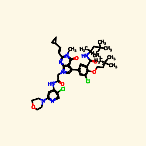 Cn1c(C=CC2CC2)nc2c(c(-c3cc(Cl)c(OCC[Si](C)(C)C)c(C(=O)NC(C)(C)CC(C)(C)C)c3)cn2CC(=O)Nc2cc(N3CCOCC3)ncc2Cl)c1=O